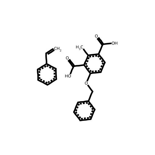 C=Cc1ccccc1.Cc1c(C(=O)O)ccc(OCc2ccccc2)c1C(=O)O